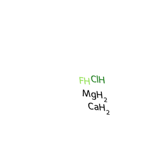 Cl.F.[CaH2].[MgH2]